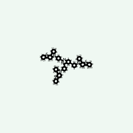 c1cc(-c2ccc3nc(-c4ccc(-n5c6ccccc6c6c7sc8ccccc8c7ccc65)cc4)nc(-c4cccc(-n5c6ccccc6c6c7sc8ccccc8c7ccc65)c4)c3c2)cc(-n2c3ccccc3c3c4sc5ccccc5c4ccc32)c1